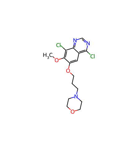 COc1c(OCCCN2CCOCC2)cc2c(Cl)ncnc2c1Cl